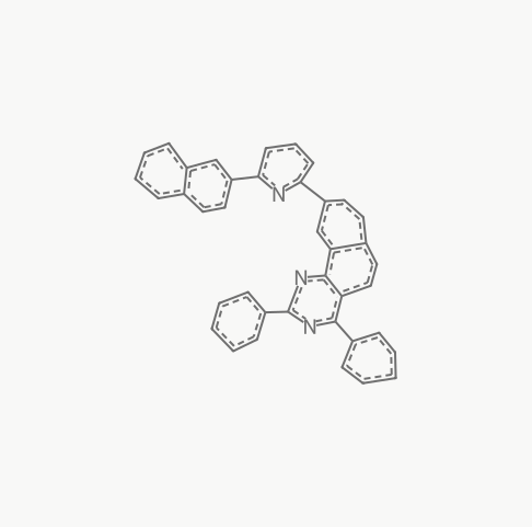 c1ccc(-c2nc(-c3ccccc3)c3ccc4ccc(-c5cccc(-c6ccc7ccccc7c6)n5)cc4c3n2)cc1